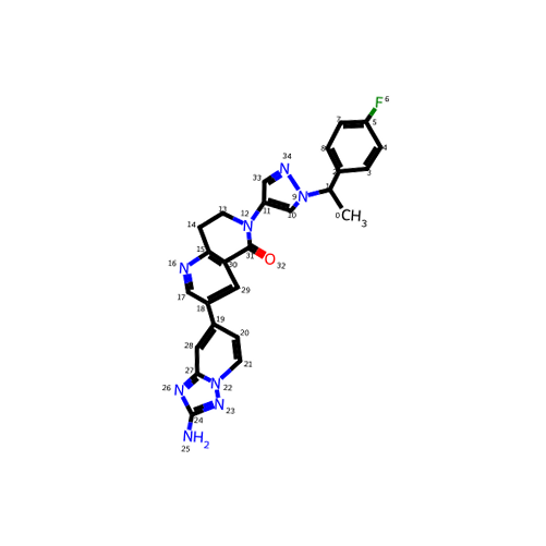 CC(c1ccc(F)cc1)n1cc(N2CCc3ncc(-c4ccn5nc(N)nc5c4)cc3C2=O)cn1